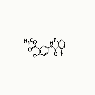 COC(=O)c1cc(NC(=O)c2c(F)cccc2F)ccc1F